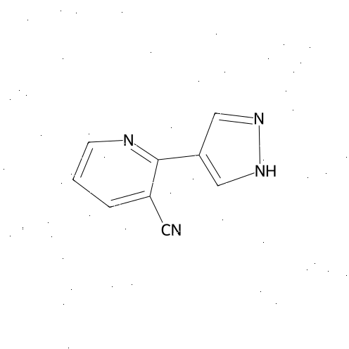 N#Cc1cccnc1-c1cn[nH]c1